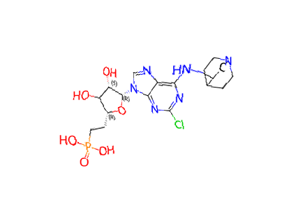 O=P(O)(O)CC[C@H]1O[C@@H](n2cnc3c(NC4CN5CCC4CC5)nc(Cl)nc32)[C@@H](O)C1O